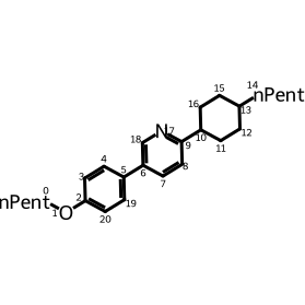 CCCCCOc1ccc(-c2ccc(C3CCC(CCCCC)CC3)nc2)cc1